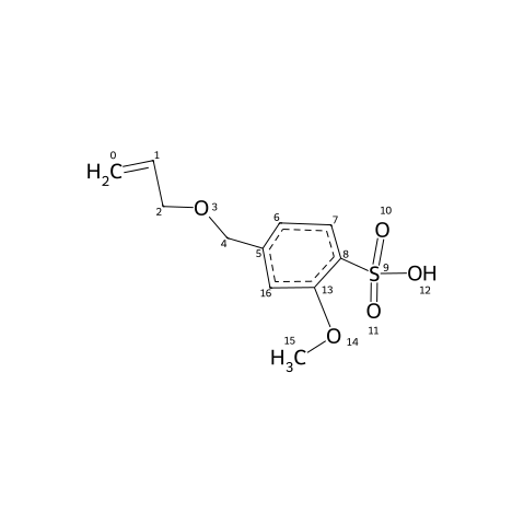 C=CCOCc1ccc(S(=O)(=O)O)c(OC)c1